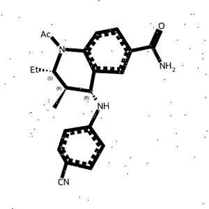 CC[C@H]1[C@H](C)[C@@H](Nc2ccc(C#N)cc2)c2cc(C(N)=O)ccc2N1C(C)=O